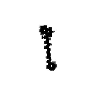 c1ccc(CSCCCCCCCCNc2ncnc3ccccc23)cc1